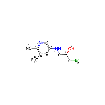 N#Cc1ncc(NC[C@@H](O)CBr)cc1C(F)(F)F